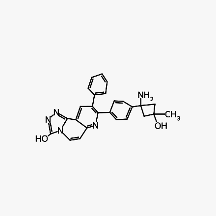 CC1(O)CC(N)(c2ccc(-c3nc4ccn5c(O)nnc5c4cc3-c3ccccc3)cc2)C1